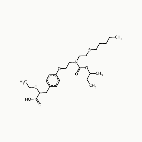 CCCCCSCCN(CCOc1ccc(CC(OCC)C(=O)O)cc1)C(=O)OC(C)CC